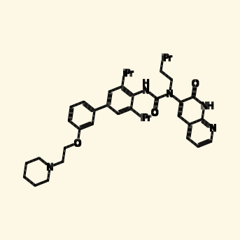 CC(C)CCN(C(=O)Nc1c(C(C)C)cc(-c2cccc(OCCN3CCCCC3)c2)cc1C(C)C)c1cc2cccnc2[nH]c1=O